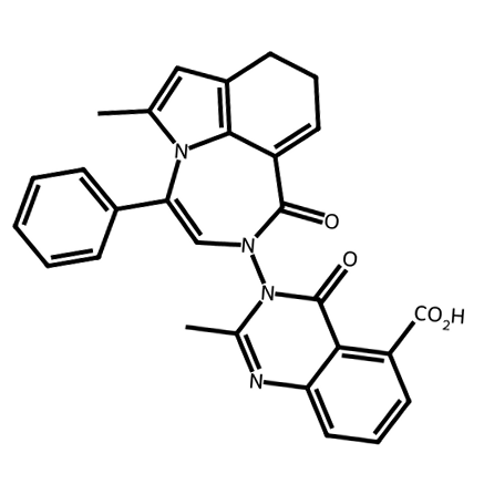 Cc1cc2c3n1C(c1ccccc1)=CN(n1c(C)nc4cccc(C(=O)O)c4c1=O)C(=O)C3=CCC2